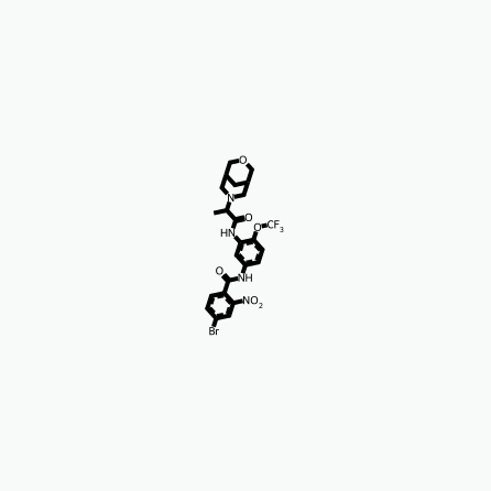 CC(C(=O)Nc1cc(NC(=O)c2ccc(Br)cc2[N+](=O)[O-])ccc1OC(F)(F)F)N1CC2COCC(C2)C1